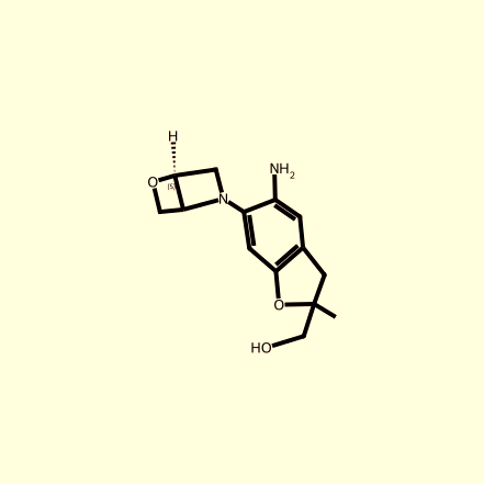 CC1(CO)Cc2cc(N)c(N3C[C@@H]4OCC43)cc2O1